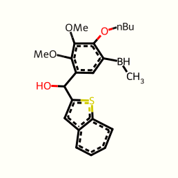 CBc1cc(C(O)c2cc3ccccc3s2)c(OC)c(OC)c1OCCCC